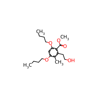 CCCCOc1cc(OCCCC)c(C(=O)OC)c(CCO)c1C